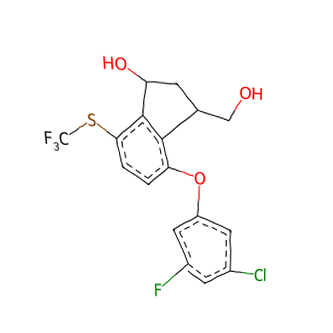 OCC1CC(O)c2c(SC(F)(F)F)ccc(Oc3cc(F)cc(Cl)c3)c21